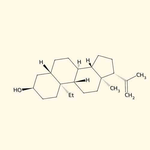 C=C(C)[C@H]1CC[C@H]2[C@@H]3CC[C@H]4C[C@H](O)CC[C@]4(CC)[C@H]3CC[C@]12C